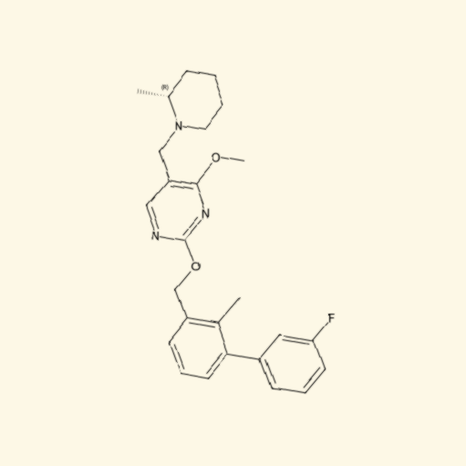 COc1nc(OCc2cccc(-c3cccc(F)c3)c2C)ncc1CN1CCCC[C@H]1C